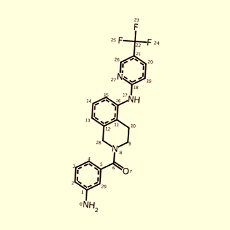 Nc1cccc(C(=O)N2CCc3c(cccc3Nc3ccc(C(F)(F)F)cn3)C2)c1